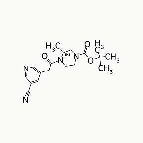 C[C@@H]1CN(C(=O)OC(C)(C)C)CCN1C(=O)Cc1cncc(C#N)c1